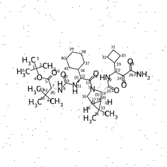 CC(C)(C)OC(=O)[C@H](NC(=O)N[C@H](C(=O)N1C[C@H]2[C@@H]([C@H]1C(=O)NC(C(=O)C(N)=O)C1CCC1)C2(C)C)C1CCCCC1)C(C)(C)C